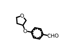 O=Cc1ccc(OC2CCOC2)cc1